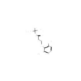 Cc1cccc(C)c1[S+]([O-])CCC(=O)OC(C)(C)C